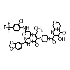 CCc1c(N2CCN(C(=O)c3nc4n(c(=O)c3O)CCOC4)CC2)c(=O)n2nc(-c3ccc4c(c3)OCO4)nc2n1CC(=O)Nc1ccc(C(F)(F)F)cc1Cl